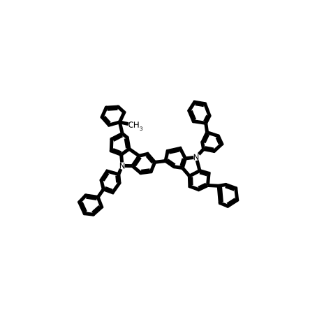 CC1(c2ccc3c(c2)c2cc(-c4ccc5c(c4)c4ccc(-c6ccccc6)cc4n5-c4cccc(-c5ccccc5)c4)ccc2n3-c2ccc(-c3ccccc3)cc2)C=CC=CC1